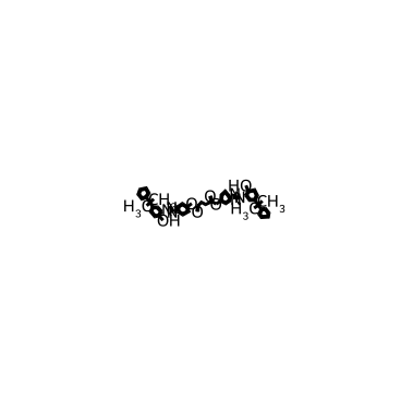 CC(C)(c1ccccc1)c1ccc(O)c(-n2n3c4ccc(OC(=O)CCC(=O)Oc5ccc6c(c5)n5n(-c7cc(C(C)(C)c8ccccc8)ccc7O)n65)cc4n23)c1